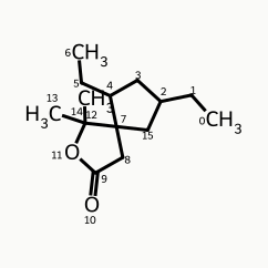 CCC1CC(CC)C2(CC(=O)OC2(C)C)C1